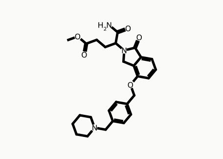 COC(=O)CCC(C(N)=O)N1Cc2c(OCc3ccc(CN4CCCCC4)cc3)cccc2C1=O